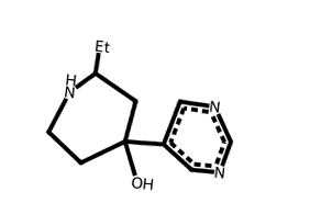 CCC1CC(O)(c2cncnc2)CCN1